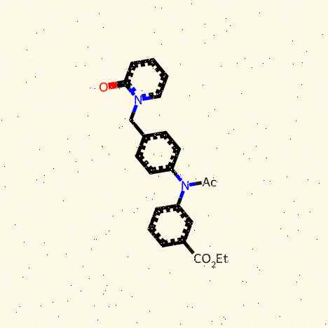 CCOC(=O)c1cccc(N(C(C)=O)c2ccc(Cn3ccccc3=O)cc2)c1